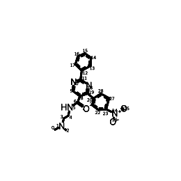 CN(C)CCNC(=O)c1cnc(-c2ccccc2)nc1-c1ccc([N+](=O)[O-])cc1